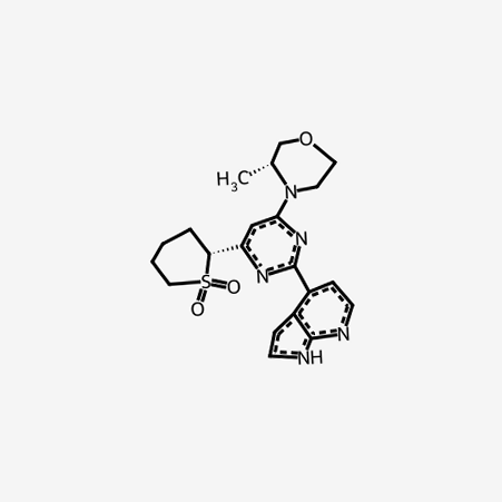 C[C@@H]1COCCN1c1cc([C@H]2CCCCS2(=O)=O)nc(-c2ccnc3[nH]ccc23)n1